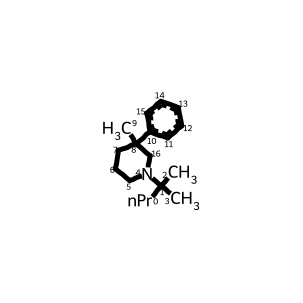 CCCC(C)(C)N1CCCC(C)(c2ccccc2)C1